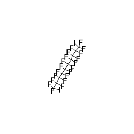 FC(F)(I)C(F)(F)C(F)(F)C(F)(F)C(F)(F)C(F)(F)C(F)(F)C(F)(F)C(F)(F)C(F)(F)I